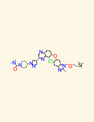 Cc1nc2ccc(Oc3ccc4ncc(-c5cnn(C6CCN(C(=O)N(C)C)CC6)c5)nc4c3Cl)cc2n1COCC[Si](C)(C)C